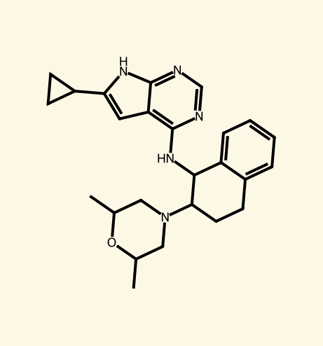 CC1CN(C2CCc3ccccc3C2Nc2ncnc3[nH]c(C4CC4)cc23)CC(C)O1